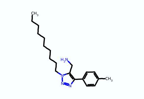 CCCCCCCCCCn1nnc(-c2ccc(C)cc2)c1CN